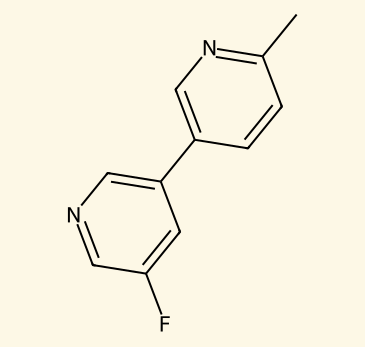 Cc1ccc(-c2cncc(F)c2)cn1